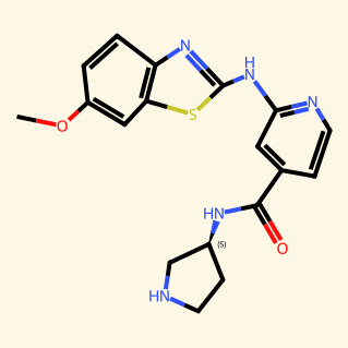 COc1ccc2nc(Nc3cc(C(=O)N[C@H]4CCNC4)ccn3)sc2c1